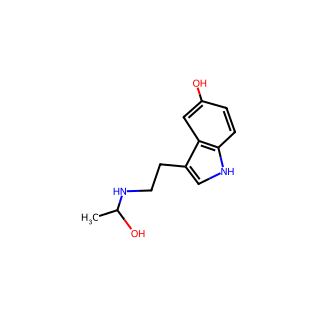 CC(O)NCCc1c[nH]c2ccc(O)cc12